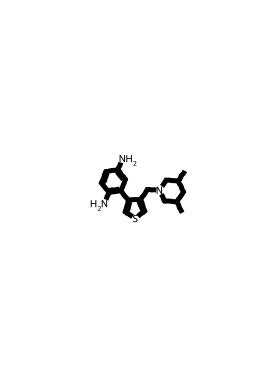 CC1CC(C)CN(Cc2cscc2-c2cc(N)ccc2N)C1